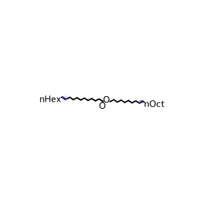 CCCCCC/C=C/CCCCCCCCCC(=O)OCCCCCCCC/C=C/CCCCCCCC